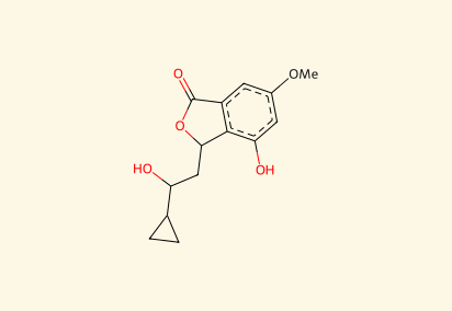 COc1cc(O)c2c(c1)C(=O)OC2CC(O)C1CC1